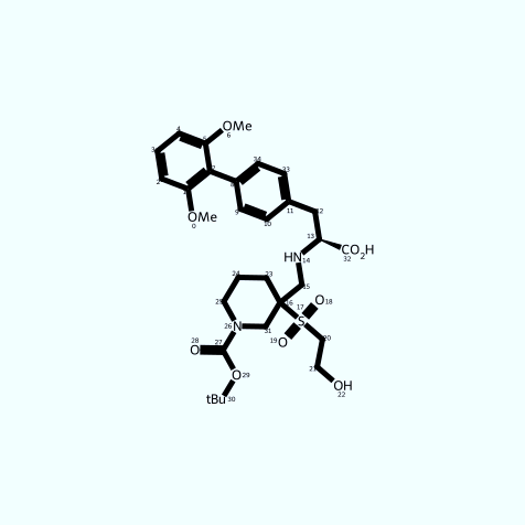 COc1cccc(OC)c1-c1ccc(C[C@H](NCC2(S(=O)(=O)CCO)CCCN(C(=O)OC(C)(C)C)C2)C(=O)O)cc1